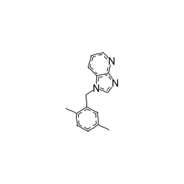 Cc1ccc(C)c(Cn2cnc3ncccc32)c1